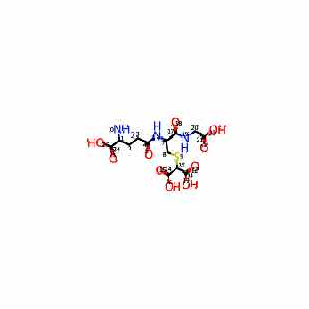 NC(CCC(=O)NC(CSC(C(=O)O)C(=O)O)C(=O)NCC(=O)O)C(=O)O